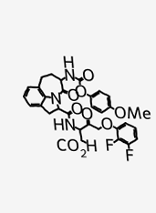 COc1ccc(OC(=O)NC2CCc3cccc4c3N(C2=O)C(C(=O)NC(CC(=O)O)C(=O)COc2cccc(F)c2F)C4)cc1